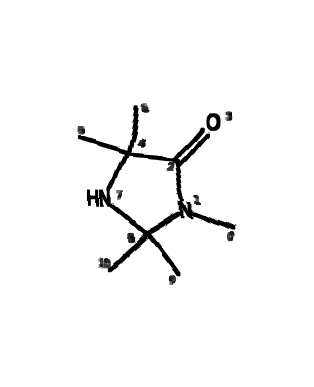 CN1C(=O)C(C)(C)NC1(C)C